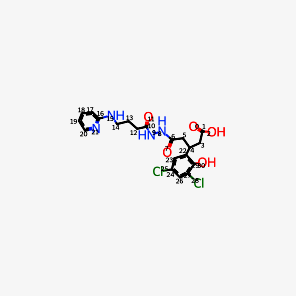 O=C(O)CC(CC(=O)NNC(=O)CCCNc1ccccn1)c1cc(Cl)cc(Cl)c1O